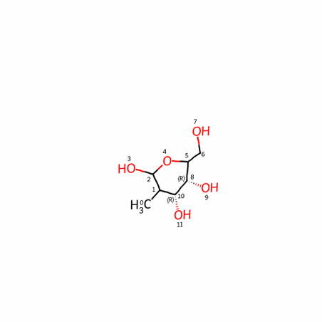 CC1C(O)OC(CO)[C@H](O)[C@@H]1O